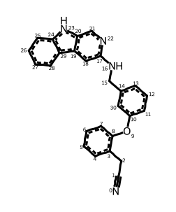 N#CCc1ccccc1Oc1cccc(CNc2cc3c(cn2)[nH]c2ccccc23)c1